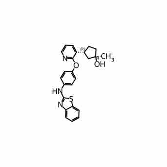 C[C@@]1(O)CC[C@@H](c2cccnc2Oc2ccc(Nc3nc4ccccc4s3)cc2)C1